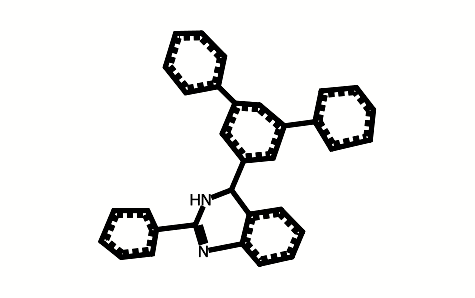 c1ccc(C2=Nc3ccccc3C(c3cc(-c4ccccc4)cc(-c4ccccc4)c3)N2)cc1